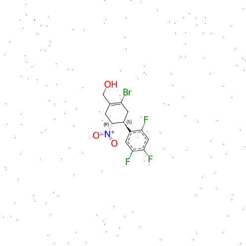 O=[N+]([O-])[C@@H]1CC(CO)=C(Br)C[C@H]1c1cc(F)c(F)cc1F